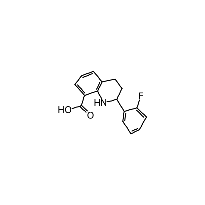 O=C(O)c1cccc2c1NC(c1ccccc1F)CC2